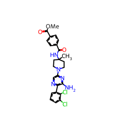 COC(=O)c1ccc(C(=O)NC2(C)CCN(c3cnc(-c4cccc(Cl)c4Cl)c(N)n3)CC2)cc1